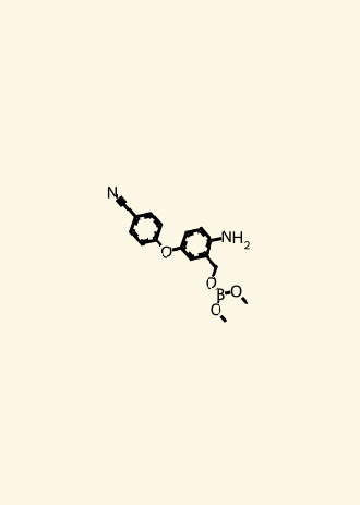 COB(OC)OCc1cc(Oc2ccc(C#N)cc2)ccc1N